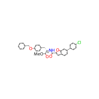 COC(=O)[C@H](Cc1ccc(OCc2ccccc2)cc1)NC(=O)c1cc2ccc(-c3ccc(Cl)cc3)cc2o1